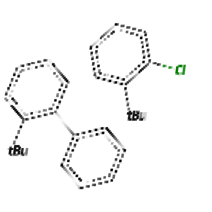 CC(C)(C)c1ccccc1-c1ccccc1.CC(C)(C)c1ccccc1Cl